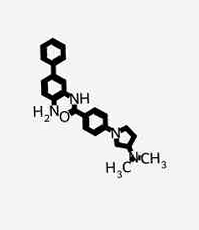 CN(C)C1CCN(c2ccc(C(=O)Nc3cc(-c4ccccc4)ccc3N)cc2)C1